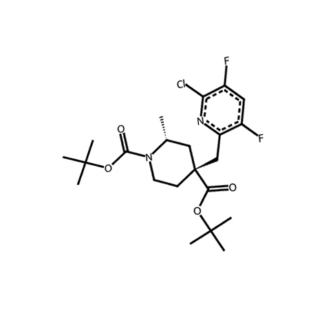 C[C@@H]1C[C@](Cc2nc(Cl)c(F)cc2F)(C(=O)OC(C)(C)C)CCN1C(=O)OC(C)(C)C